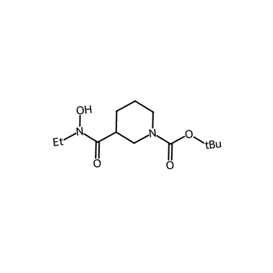 CCN(O)C(=O)C1CCCN(C(=O)OC(C)(C)C)C1